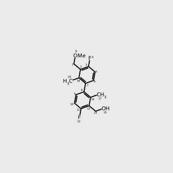 COCc1c(F)ccc(-c2ccc(F)c(CO)c2C)c1C